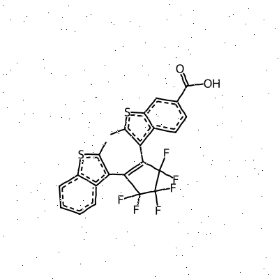 Cc1sc2ccccc2c1C1=C(c2c(C)sc3cc(C(=O)O)ccc23)C(F)(F)C(F)(F)C1(F)F